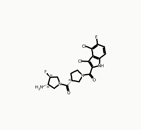 N[C@H]1CN(C(=O)[C@@H]2CCN(C(=O)c3[nH]c4ccc(F)c(Cl)c4c3Cl)C2)C[C@@H]1F